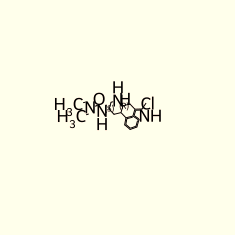 CCN(CC)C(=O)N[C@@H]1CN[C@@H]2Cc3c(Cl)[nH]c4cccc(c34)C2C1